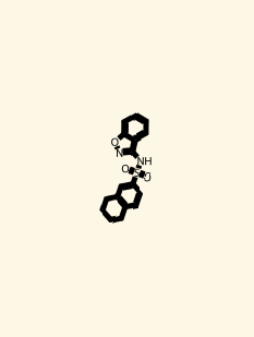 O=S(=O)(Nc1noc2ccccc12)c1ccc2c(c1)CCCC2